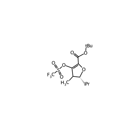 CC(C)[C@H]1OC(C(=O)OC(C)(C)C)=C(OS(=O)(=O)C(F)(F)F)C1C